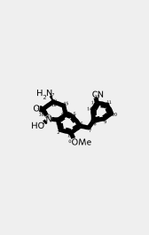 COc1cc2c(cc1Cc1cccc(C#N)c1)C[C@H](N)C(=O)N2O